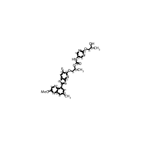 COc1cnc2c(-c3nc4cc(F)c(OC[C@@H](C)OC(=O)Nc5cnc(OC[C@@H](C)O)nc5)nc4s3)cc(C)cc2n1